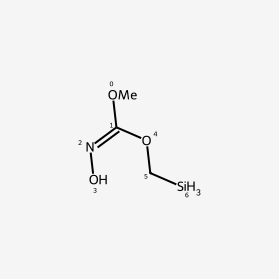 COC(=NO)OC[SiH3]